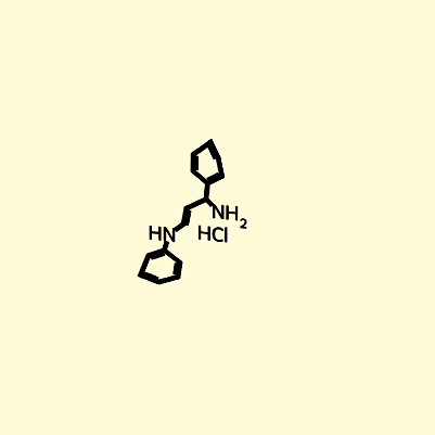 Cl.NC(C=CNc1ccccc1)c1ccccc1